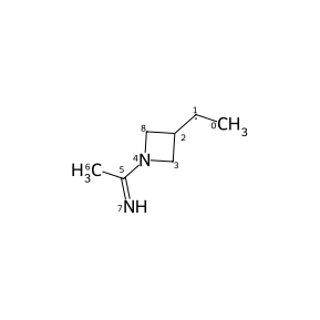 C[CH]C1CN(C(C)=N)C1